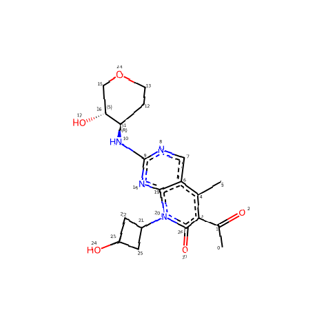 CC(=O)c1c(C)c2cnc(N[C@@H]3CCOC[C@H]3O)nc2n(C2CC(O)C2)c1=O